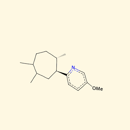 COc1ccc([C@H]2CC(C)C(C)CC[C@@H]2C)nc1